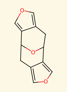 c1occ2c1CC1OC2Cc2cocc21